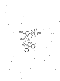 COC(=O)N(C(=O)[C@@H](N)C(c1ccccc1)c1ccccc1)[C@@H](C)CCC[C@@H](CO)N(C1CCC1)S(=O)(=O)c1ccc(CO)cc1